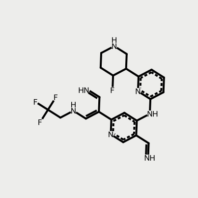 N=C/C(=C\NCC(F)(F)F)c1cc(Nc2cccc(C3CNCCC3F)n2)c(C=N)cn1